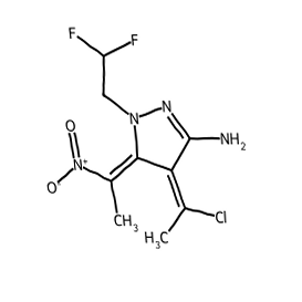 C/C(Cl)=c1/c(N)nn(CC(F)F)/c1=C(/C)[N+](=O)[O-]